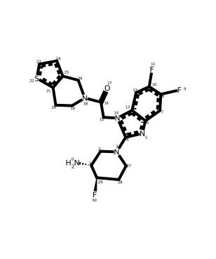 N[C@@H]1CN(c2nc3cc(F)c(F)cc3n2CC(=O)N2CCc3sccc3C2)CC[C@H]1F